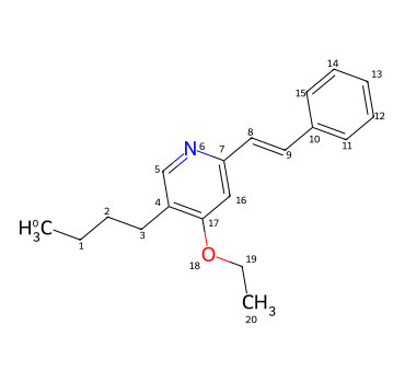 CCCCc1cnc(/C=C/c2ccccc2)cc1OCC